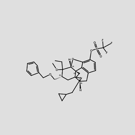 CCC1(OC)[C@@H](COCc2ccccc2)CC2[C@H]3Cc4ccc(OS(=O)(=O)C(F)(F)F)c5c4[C@@]2(CCN3CC2CC2)[C@H]1O5